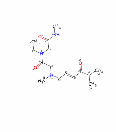 CCN(CC(=O)NC)C(=O)CN(C)C/C=C/C(=O)C(C)C